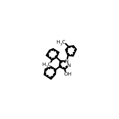 Cc1cccc(-n2nc(O)c(-c3ccccc3)c2-c2ccccc2C)c1